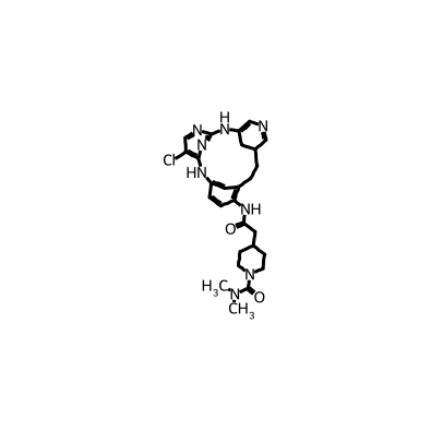 CN(C)C(=O)N1CCC(CC(=O)Nc2ccc3cc2CCC2C=NC=C(C2)Nc2ncc(Cl)c(n2)N3)CC1